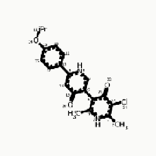 Cc1[nH]c(C)c(-c2c[nH]c(-c3ccc(OC(C)C)cc3)cc2=O)c(=O)c1Cl